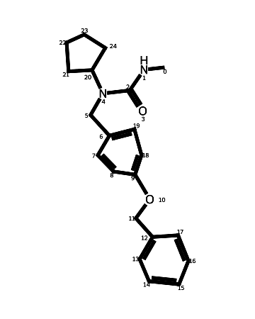 CNC(=O)N(Cc1ccc(OCc2ccccc2)cc1)C1CCCC1